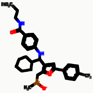 CCOC(=O)CCNC(=O)c1ccc(NC(c2cc(-c3ccc(C(F)(F)F)cc3)oc2C[S+](C)[O-])C2CCCCC2)cc1